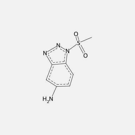 CS(=O)(=O)n1nnc2cc(N)ccc21